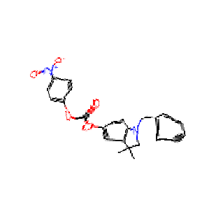 CC1(C)CN(Cc2ccccc2)c2ccc(OC(=O)Oc3ccc([N+](=O)[O-])cc3)cc21